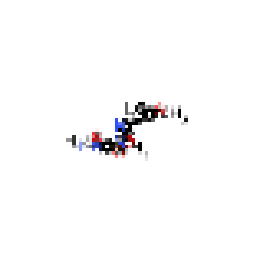 COc1ccc(C#Cc2cncc(C(=O)N=S(C)(=O)c3ccc(NC(C)=O)cc3)c2)c(C)c1